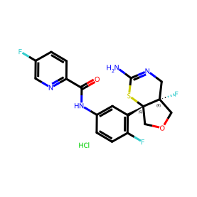 Cl.NC1=NC[C@@]2(F)COC[C@]2(c2cc(NC(=O)c3ccc(F)cn3)ccc2F)S1